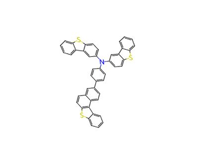 c1ccc2c(c1)sc1ccc(N(c3ccc(-c4ccc5c(ccc6sc7ccccc7c65)c4)cc3)c3ccc4sc5ccccc5c4c3)cc12